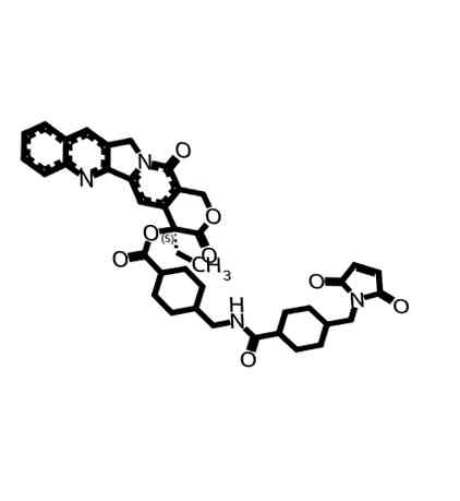 CC[C@@]1(OC(=O)C2CCC(CNC(=O)C3CCC(CN4C(=O)C=CC4=O)CC3)CC2)C(=O)OCc2c1cc1n(c2=O)Cc2cc3ccccc3nc2-1